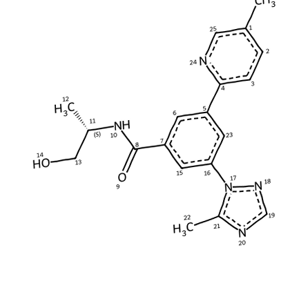 Cc1ccc(-c2cc(C(=O)N[C@@H](C)CO)cc(-n3ncnc3C)c2)nc1